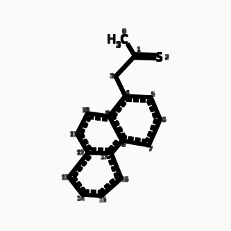 CC(=S)Cc1cccc2c1ccc1ccccc12